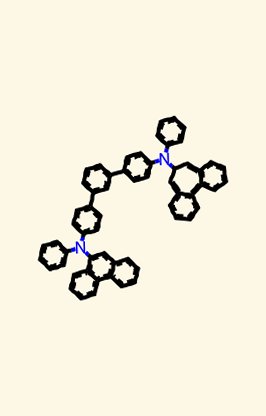 C1=c2ccccc2=c2ccccc2=CC1N(c1ccccc1)c1ccc(-c2cccc(-c3ccc(N(c4ccccc4)c4cc5ccccc5c5ccccc45)cc3)c2)cc1